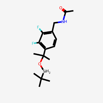 CC(=O)NCc1ccc(C(C)(C)O[SiH2]C(C)(C)C)c(F)c1F